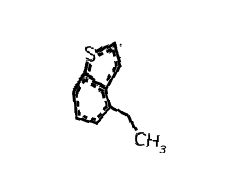 CCc1cccc2s[c]cc12